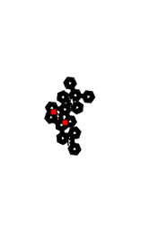 c1ccc(-c2cc(-c3ccccc3)cc([Si](c3ccccc3)(c3ccccc3)c3cc(-c4ccccc4)c(-n4c5ccccc5c5cc(-c6cccc7c6c6ccccc6n7-c6ccccc6)ccc54)c(-c4ccccc4)c3)c2)cc1